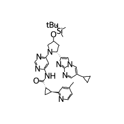 Cc1ccnc([C@H]2C[C@@H]2C(=O)Nc2cc(N3CC(O[Si](C)(C)C(C)(C)C)C[C@@H]3c3cn4cc(C5CC5)cnc4n3)ncn2)c1